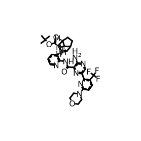 CC(C)(C)OC(=O)N[C@@H]1C2CC[C@H]1CN(c1cccnc1NC(=O)c1nc(-c3nc(N4CCOCC4)ccc3C(F)(F)F)cnc1N)C2